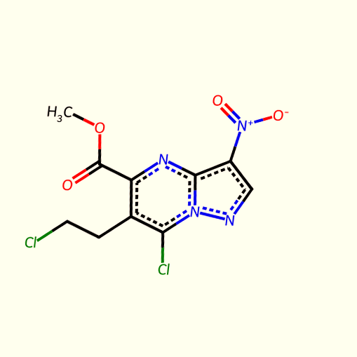 COC(=O)c1nc2c([N+](=O)[O-])cnn2c(Cl)c1CCCl